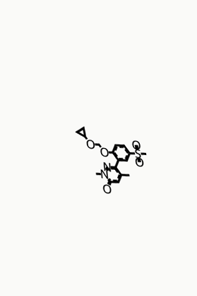 Cc1cc(=O)n(C)nc1-c1cc(S(C)(=O)=O)ccc1OCOC1CC1